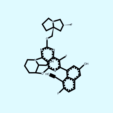 C#Cc1c(F)ccc2cc(O)cc(-c3nc4c5c(nc(OC[C@@]67CCCN6C[C@H](F)C7)nc5c3F)N3CCCC(O4)C3CO)c12